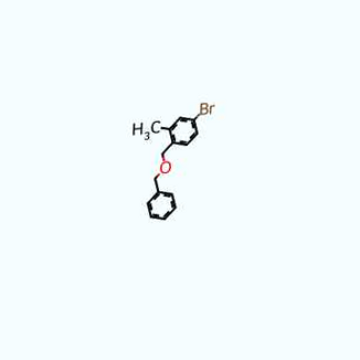 Cc1cc(Br)ccc1COCc1ccccc1